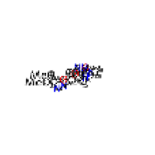 COc1cc2ncnc(Oc3ccc(C4CCCn5c4c(C(N)=O)c(=O)n5-c4ccccc4)cc3C(F)(F)F)c2cc1OC